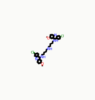 COc1ccc2nc3cc(Cl)ccc3c(NCCCCCNCCCCCNc3c4ccc(Cl)cc4nc4ccc(OC)cc34)c2c1